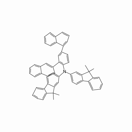 CC1(C)c2ccccc2-c2ccc(N(c3ccc4c(c3)C(C)(C)c3ccccc3-4)c3ccc(-c4cccc5ccccc45)cc3-c3ccc4ccccc4c3)cc21